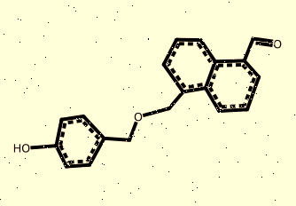 O=Cc1cccc2c(COCc3ccc(O)cc3)cccc12